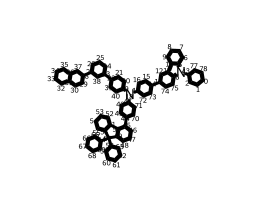 c1ccc(-n2c3ccccc3c3cc(-c4ccc(N(c5ccc(-c6cccc(-c7ccc8ccccc8c7)c6)cc5)c5ccc(-c6cccc7c6-c6ccccc6C7(c6ccccc6)c6ccccc6)cc5)cc4)ccc32)cc1